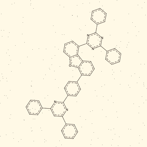 c1ccc(-c2cc(-c3ccccc3)nc(-c3ccc(-c4cccc5c4oc4cccc(-c6nc(-c7ccccc7)nc(-c7ccccc7)n6)c45)cc3)n2)cc1